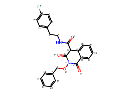 O=C(NCCc1ccc(F)cc1)C1C(=O)N(OCc2ccccc2)C(=O)c2ccccc21